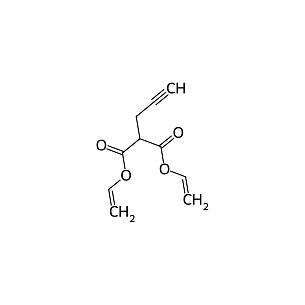 C#CCC(C(=O)OC=C)C(=O)OC=C